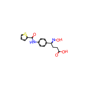 O=C(O)CCC(=NO)c1ccc(NC(=O)c2cccs2)cc1